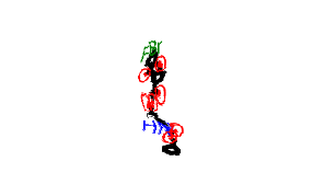 C[C@@H](CCCNC(=O)OCc1ccccc1)C(=O)OCC(=O)c1ccc2oc3cc(Br)c(F)cc3c(=O)c2c1